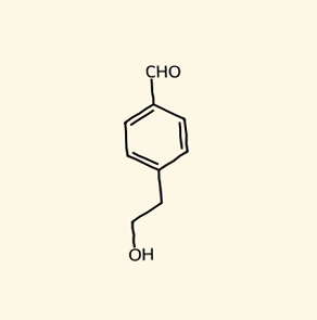 O=Cc1ccc(CCO)cc1